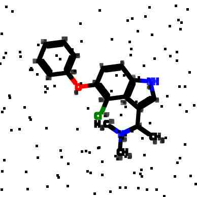 CC(c1c[nH]c2ccc(Oc3ccccc3)c(Cl)c12)N(C)C